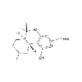 CC1CC[C@@H]2[C@@H](C1)c1c(O)cc(CCCC[13CH3])cc1OC2(C)C